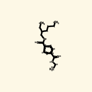 CCCCC(CC)COC(=O)c1ccc(C(=O)OCC)cc1